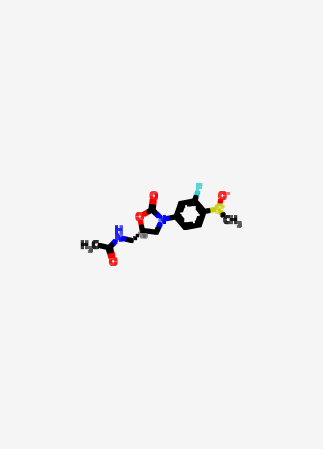 CC(=O)NC[C@H]1CN(c2ccc([S+](C)[O-])c(F)c2)C(=O)O1